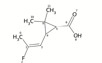 C/C(F)=C\C1[C@@H](C(=O)O)C1(C)C